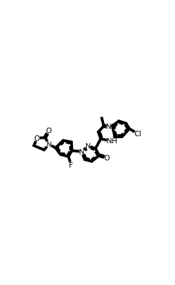 CC(=N)/C=C(\Nc1cccc(Cl)c1)c1nn(-c2ccc(N3CCOC3=O)cc2F)ccc1=O